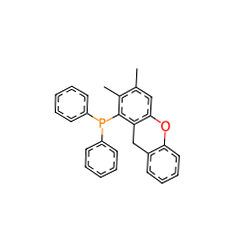 Cc1cc2c(c(P(c3ccccc3)c3ccccc3)c1C)Cc1ccccc1O2